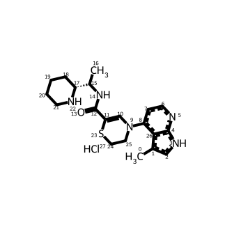 Cc1c[nH]c2nccc(N3C=C(C(=O)NC(C)[C@H]4CCCCN4)SCC3)c12.Cl